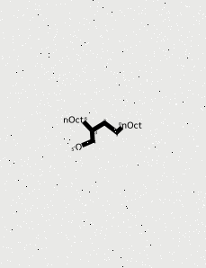 CCCCCCCCCCC(C[O])CCCCCCCC